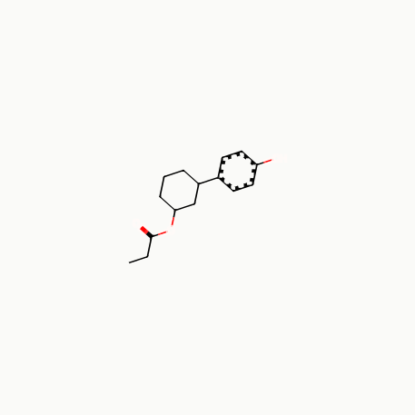 CCC(=O)OC1CCCC(c2ccc(O)cc2)C1